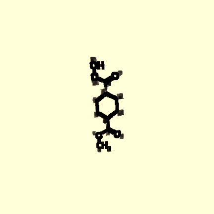 COC(=O)[C@H]1CC[C@H](C(=O)OO)CC1